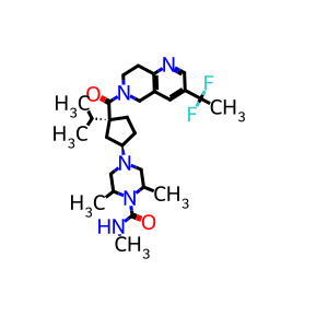 CNC(=O)N1C(C)CN([C@@H]2CC[C@@](C(=O)N3CCc4ncc(C(C)(F)F)cc4C3)(C(C)C)C2)CC1C